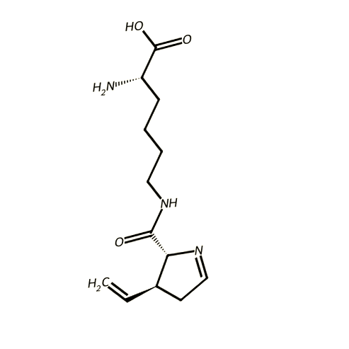 C=C[C@@H]1CC=N[C@H]1C(=O)NCCCC[C@H](N)C(=O)O